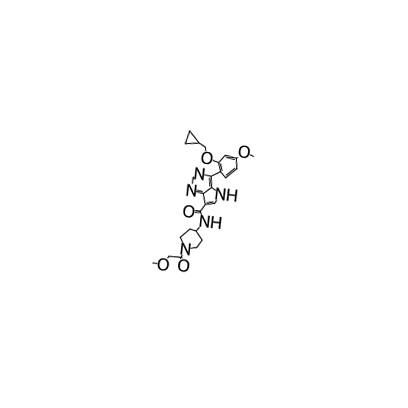 COCC(=O)N1CCC(NC(=O)c2c[nH]c3c(-c4ccc(OC)cc4OCC4CC4)ncnc23)CC1